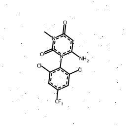 Cn1c(=O)cc(N)n(-c2c(Cl)cc(C(F)(F)F)cc2Cl)c1=O